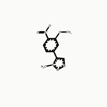 COc1cc(-c2cnnn2C)ccc1[N+](=O)[O-]